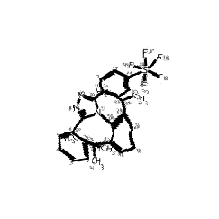 Cc1ccccc1-c1nnc(-c2ccc(S(F)(F)(F)(F)F)cc2)n1-c1c(C(C)C)cccc1C(C)C